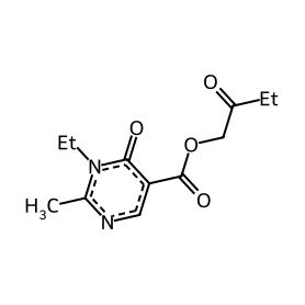 CCC(=O)COC(=O)c1cnc(C)n(CC)c1=O